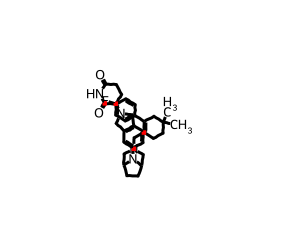 CC1(C)CCC(CN2CC3CCC(C2)N3c2ccc3c(c2)CN(C2CCC(=O)NC2=O)C3)=C(c2ccc(F)cc2)C1